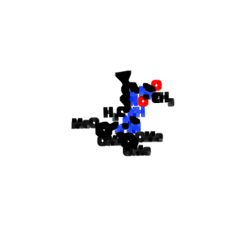 COc1cc(CN(Cc2cc(OC)cc(OC)c2)c2nncc(NC(C)c3cc4cc(C5CC5)cc(N5CC(=O)N(C)C5=O)n4n3)n2)cc(OC)c1